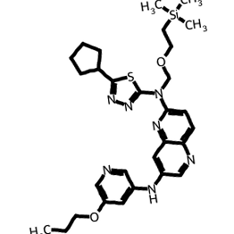 CCCOc1cncc(Nc2cnc3ccc(N(COCC[Si](C)(C)C)c4nnc(C5CCCC5)s4)nc3c2)c1